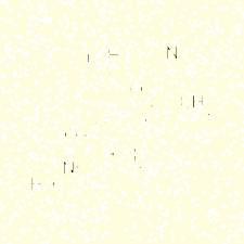 C=C(C#N)C(=O)OCC(C)(CI)COC(=O)C(=C)/C=N/C